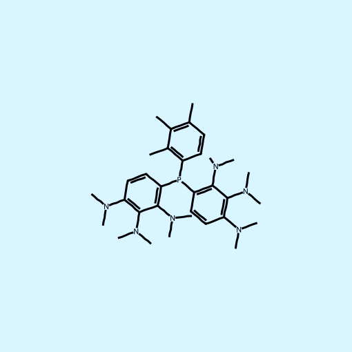 Cc1ccc(P(c2ccc(N(C)C)c(N(C)C)c2N(C)C)c2ccc(N(C)C)c(N(C)C)c2N(C)C)c(C)c1C